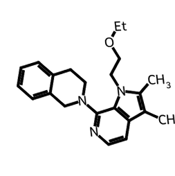 CCOCCn1c(C)c(C)c2ccnc(N3CCc4ccccc4C3)c21